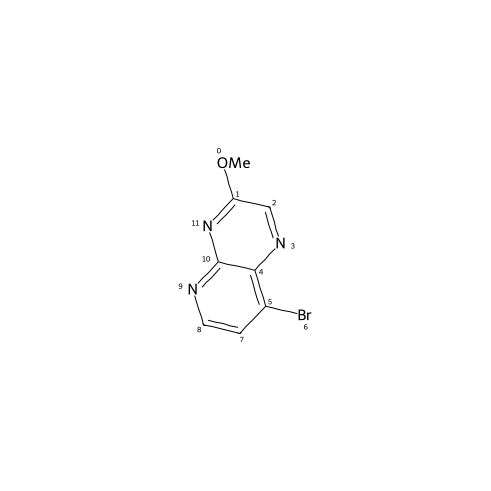 COc1cnc2c(Br)ccnc2n1